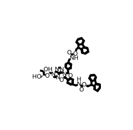 CC(O)[C@@H](CO)OCn1cnc2c(N(C(=O)c3ccc(CNC(=O)OCC4c5ccccc5-c5ccccc54)cc3)C(=O)c3ccc(CNC(=O)OCC4c5ccccc5-c5ccccc54)cc3)ncnc21